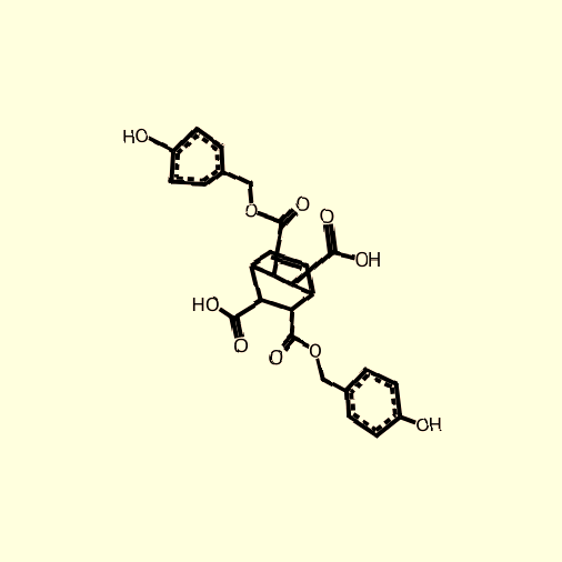 O=C(O)C1C2C=CC(C(C(=O)O)C2C(=O)OCc2ccc(O)cc2)C1C(=O)OCc1ccc(O)cc1